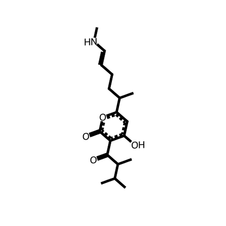 CN/C=C/CCC(C)c1cc(O)c(C(=O)C(C)C(C)C)c(=O)o1